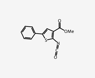 COC(=O)c1cc(-c2ccccc2)sc1N=C=O